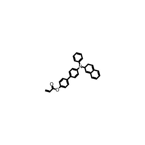 C=CC(=O)Oc1ccc(-c2ccc(N(c3ccccc3)C3C=c4ccccc4=CC3)cc2)cc1